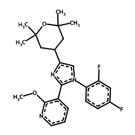 COc1ncccc1-c1nc(C2CC(C)(C)OC(C)(C)C2)cn1-c1ccc(F)cc1F